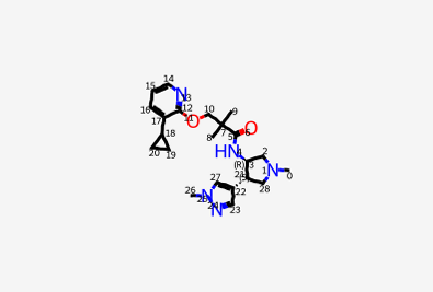 CN1C[C@H](NC(=O)C(C)(C)COc2ncccc2C2CC2)[C@@H](c2cnn(C)c2)C1